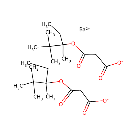 CCC(C)(OC(=O)CC(=O)[O-])C(C)(C)C.CCC(C)(OC(=O)CC(=O)[O-])C(C)(C)C.[Ba+2]